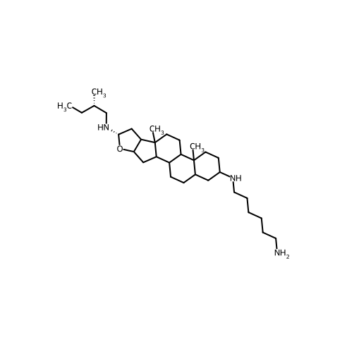 CC[C@H](C)CN[C@@H]1CC2C(CC3C4CCC5CC(NCCCCCCN)CCC5(C)C4CCC23C)O1